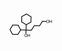 OCCCCC(O)(C1CCCCC1)C1CCCCC1